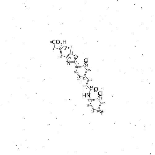 O=C(O)Cc1ccc2oc(-c3ccc(C=CC(=O)Nc4ccc(F)cc4Cl)cc3Cl)nc2c1